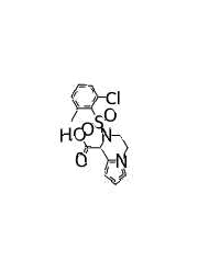 Cc1cccc(Cl)c1S(=O)(=O)N1CCn2cccc2C1C(=O)O